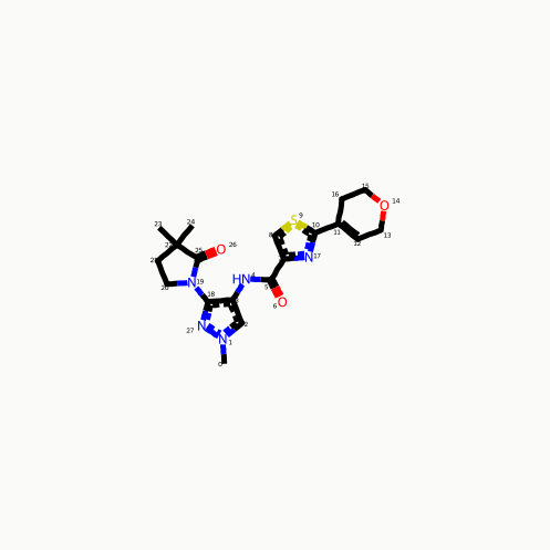 Cn1cc(NC(=O)c2csc(C3=CCOCC3)n2)c(N2CCC(C)(C)C2=O)n1